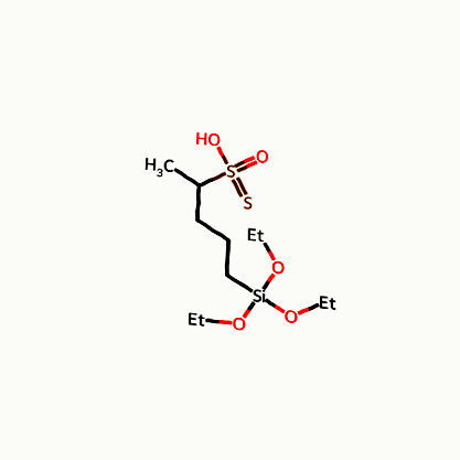 CCO[Si](CCCC(C)S(=O)(O)=S)(OCC)OCC